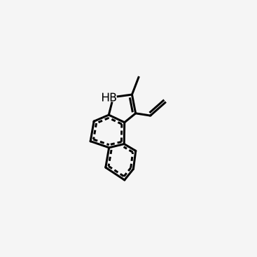 C=CC1=C(C)Bc2ccc3ccccc3c21